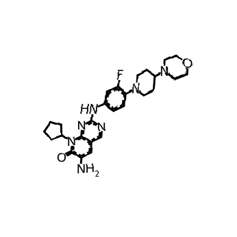 Nc1cc2cnc(Nc3ccc(N4CCC(N5CCOCC5)CC4)c(F)c3)nc2n(C2CCCC2)c1=O